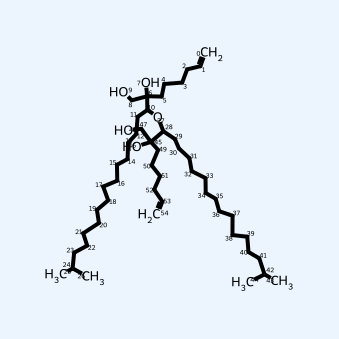 C=CCCCCC(O)(CO)C(CCCCCCCCCCCCCC(C)C)OC(CCCCCCCCCCCCCC(C)C)C(O)(CO)CCCCC=C